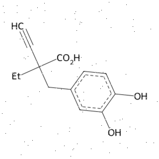 C#CC(CC)(Cc1ccc(O)c(O)c1)C(=O)O